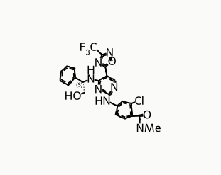 CNC(=O)c1ccc(Nc2ncc(-c3nc(C(F)(F)F)no3)c(N[C@H](CO)c3ccccc3)n2)cc1Cl